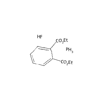 CCOC(=O)c1ccccc1C(=O)OCC.F.P